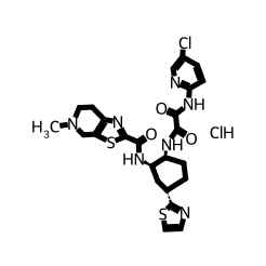 CN1CCc2nc(C(=O)N[C@@H]3C[C@@H](c4nccs4)CC[C@@H]3NC(=O)C(=O)Nc3ccc(Cl)cn3)sc2C1.Cl